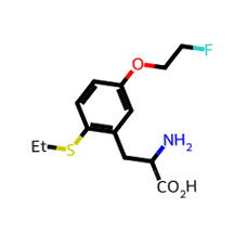 CCSc1ccc(OCCF)cc1CC(N)C(=O)O